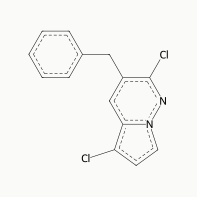 Clc1nn2ccc(Cl)c2cc1Cc1ccccc1